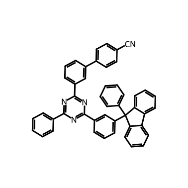 N#Cc1ccc(-c2cccc(-c3nc(-c4ccccc4)nc(-c4cccc(C5(c6ccccc6)c6ccccc6-c6ccccc65)c4)n3)c2)cc1